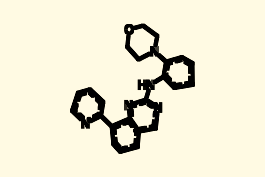 c1ccc(-c2cccc3cnc(Nc4ccccc4N4CCOCC4)nc23)nc1